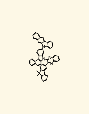 CC1(C)c2ccccc2-c2cc(-c3nc4ccccc4nc3-n3c4cc(-n5c6ccccc6c6cc7ccccc7cc65)ccc4c4c5ccccc5ccc43)ccc21